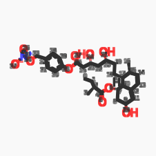 CC[C@H](C)C(=O)O[C@H]1C[C@H](O)C=C2C=C[C@H](C)[C@H](CC[C@@H](O)C[C@@H](O)CC(=O)Oc3ccc(CO[N+](=O)[O-])cc3)[C@H]21